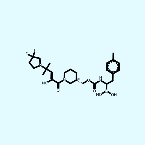 Cc1ccc(CC(NC(=O)OC[C@H]2CCCN(C(=O)C(C#N)=CC(C)(C)N3CCC(F)(F)C3)C2)B(O)O)cc1